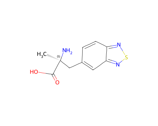 C[C@](N)(Cc1ccc2nsnc2c1)C(=O)O